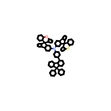 c1ccc(C2(c3ccccc3)c3ccccc3-c3c(-c4ccc(N(c5ccc6c(c5)C5(c7ccccc7Oc7ccccc75)c5ccccc5-6)c5ccc6c(c5)C5(c7ccccc7Sc7ccccc75)c5ccccc5-6)cc4)cccc32)cc1